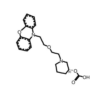 O=C(O)O[C@@H]1CCCN(CCOCCN2c3ccccc3Oc3ccccc32)C1